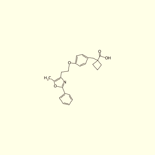 Cc1oc(-c2ccccc2)nc1CCOc1ccc(CC2(C(=O)O)CCC2)cc1